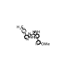 COc1cncc(-c2ccc3[nH]nc(-c4nc5c(N6CCN(C)CC6)ccnc5[nH]4)c3n2)c1